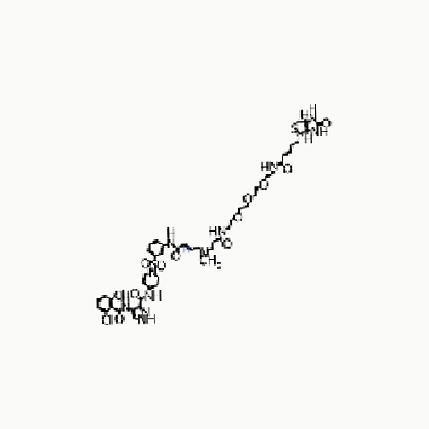 CN(C/C=C/C(=O)Nc1cccc(S(=O)(=O)N2CCC(NC(=O)c3n[nH]cc3NC(=O)c3c(Cl)cccc3Cl)CC2)c1)CCC(=O)NCCOCCOCCOCCNC(=O)CCCC[C@@H]1SC[C@@H]2NC(=O)N[C@@H]21